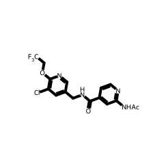 CC(=O)Nc1cc(C(=O)NCc2cnc(OCC(F)(F)F)c(Cl)c2)ccn1